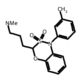 CNCCCC1Oc2ccccc2N(c2cccc(C)c2)S1(=O)=O